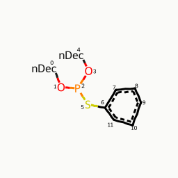 CCCCCCCCCCOP(OCCCCCCCCCC)Sc1ccccc1